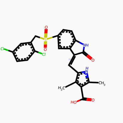 Cc1[nH]c(/C=C2\C(=O)Nc3ccc(S(=O)(=O)Cc4cc(Cl)ccc4Cl)cc32)c(C)c1C(=O)O